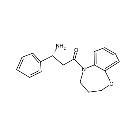 N[C@H](CC(=O)N1CCCOc2ccccc21)c1ccccc1